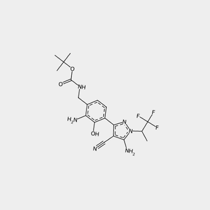 CC(n1nc(-c2ccc(CNC(=O)OC(C)(C)C)c(N)c2O)c(C#N)c1N)C(F)(F)F